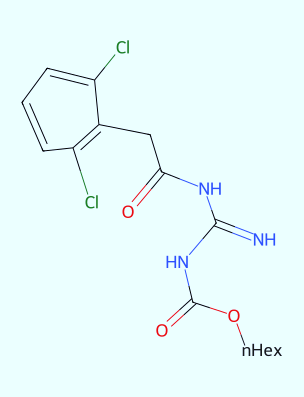 CCCCCCOC(=O)NC(=N)NC(=O)Cc1c(Cl)cccc1Cl